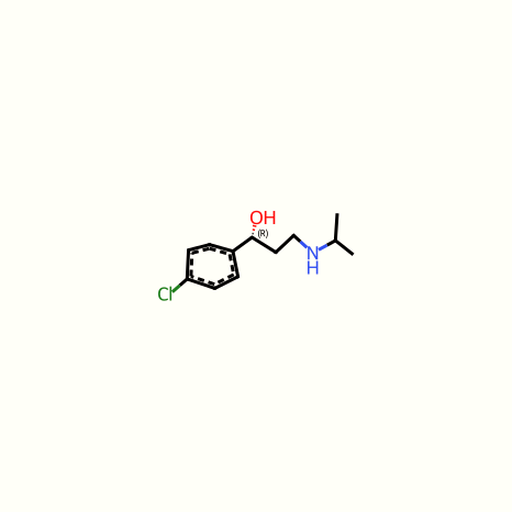 CC(C)NCC[C@@H](O)c1ccc(Cl)cc1